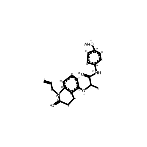 C=CCN1C(=O)CCc2c(OC(C)C(=O)Nc3ccc(OC)cc3)cccc21